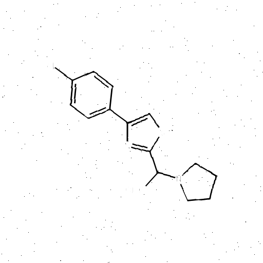 O=CC(c1nc(-c2ccc(Cl)cc2)cs1)N1CCCC1